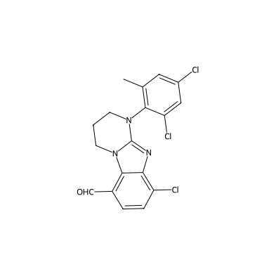 Cc1cc(Cl)cc(Cl)c1N1CCCn2c1nc1c(Cl)ccc(C=O)c12